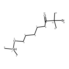 C[SiH](C)OCCCCCC(=O)C(C)(C)Br